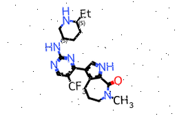 CC[C@H]1CC[C@H](Nc2ncc(C(F)(F)F)c(-c3c[nH]c4c3CCCN(C)C4=O)n2)CN1